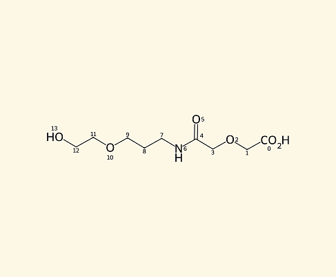 O=C(O)COCC(=O)NCCCOCCO